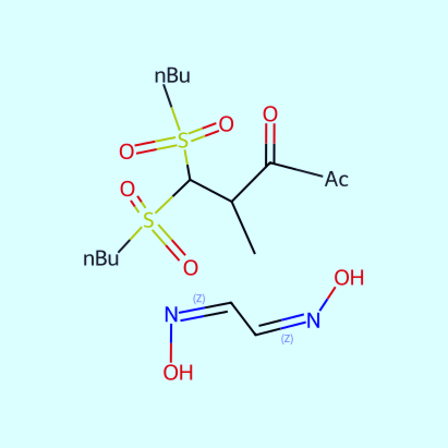 CCCCS(=O)(=O)C(C(C)C(=O)C(C)=O)S(=O)(=O)CCCC.O/N=C\C=N/O